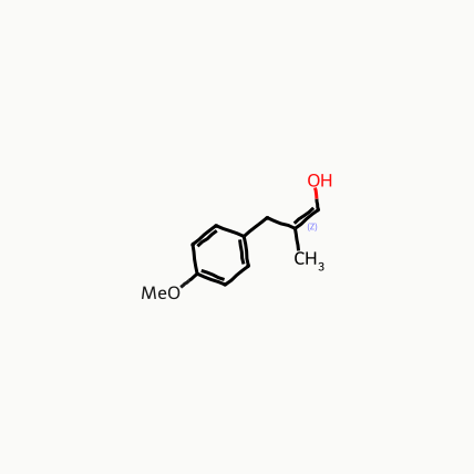 COc1ccc(C/C(C)=C\O)cc1